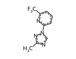 Cc1ncn(-c2cccc(C(F)(F)F)n2)n1